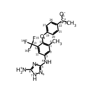 Cc1cc(Nc2n[nH]c(N)n2)cc(C(F)(F)F)c1Oc1ccc([S+](C)[O-])cc1